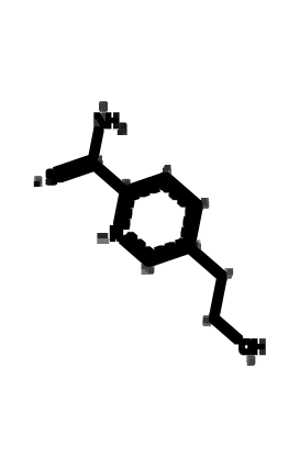 NC(=S)c1ccc(CCO)cn1